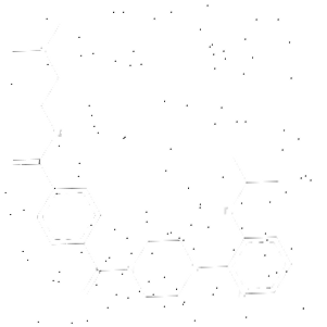 CC(C)Nc1cccnc1N1CCN(C(=O)c2ccc(C(=O)NCCN(C)C)cc2)CC1